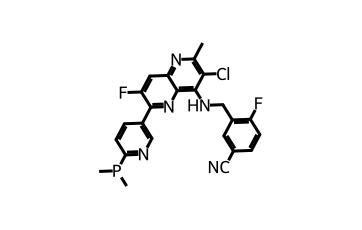 Cc1nc2cc(F)c(-c3ccc(P(C)C)nc3)nc2c(NCc2cc(C#N)ccc2F)c1Cl